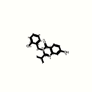 CC(C)c1nc2cc(O)ccc2c(=O)n1Cc1ccccc1Cl